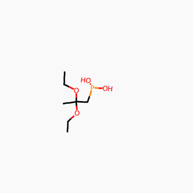 CCOC(C)(CP(O)O)OCC